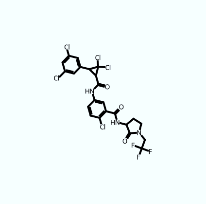 O=C(NC1CCN(CC(F)(F)F)C1=O)c1cc(NC(=O)C2C(c3cc(Cl)cc(Cl)c3)C2(Cl)Cl)ccc1Cl